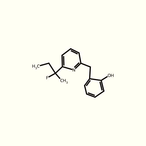 CCC(C)(F)c1cccc(Cc2ccccc2O)n1